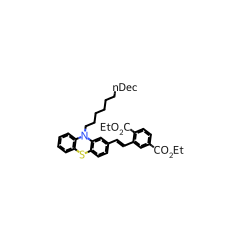 CCCCCCCCCCCCCCCCN1c2ccccc2Sc2ccc(C=Cc3cc(C(=O)OCC)ccc3C(=O)OCC)cc21